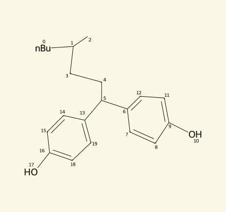 CCCCC(C)CCC(c1ccc(O)cc1)c1ccc(O)cc1